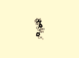 Cc1cccc(NC(=O)Nc2ccc(-c3csc4ncnc(N)c34)cc2Cl)c1